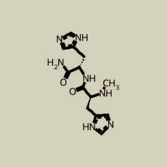 CN[C@@H](Cc1cnc[nH]1)C(=O)N[C@@H](Cc1cnc[nH]1)C(N)=O